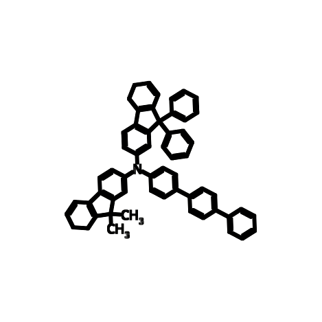 CC1(C)C2=C(C=CCC2)c2ccc(N(c3ccc(-c4ccc(-c5ccccc5)cc4)cc3)c3ccc4c(c3)C(c3ccccc3)(c3ccccc3)C3=C4CCC=C3)cc21